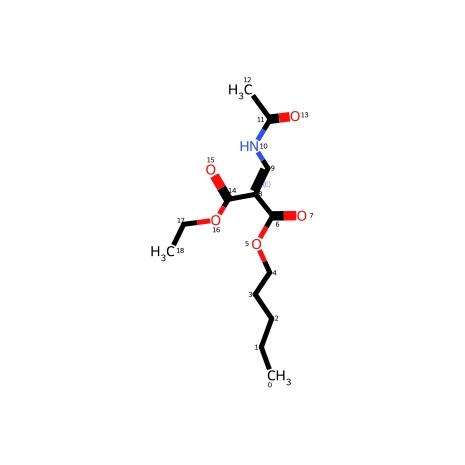 CCCCCOC(=O)/C(=C/NC(C)=O)C(=O)OCC